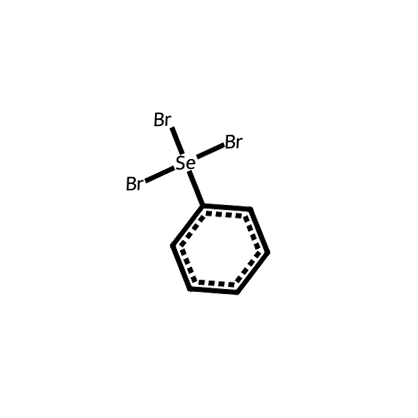 Br[Se](Br)(Br)c1ccccc1